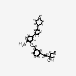 CN1CCC(c2ncc(-c3cnc(N)c(OCc4cccc(C#CC(C)(O)CF)c4)c3)s2)CC1